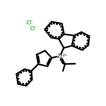 C[C](C)=[Zr+2]([C]1=CC(c2ccccc2)=CC1)[CH]1c2ccccc2-c2ccccc21.[Cl-].[Cl-]